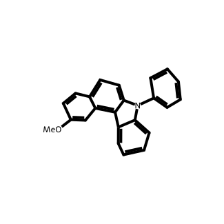 COc1ccc2ccc3c(c2c1)c1ccccc1n3-c1ccccc1